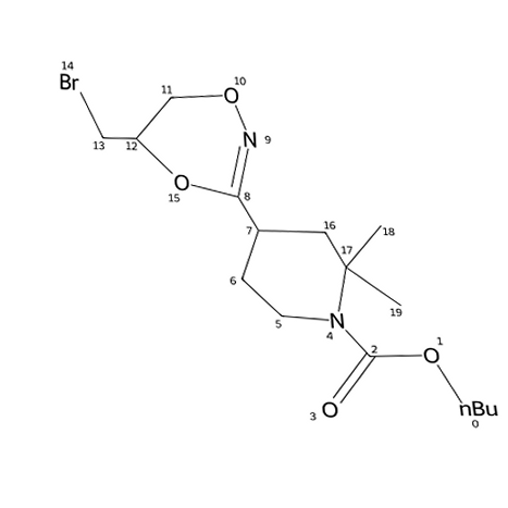 CCCCOC(=O)N1CCC(C2=NOCC(CBr)O2)CC1(C)C